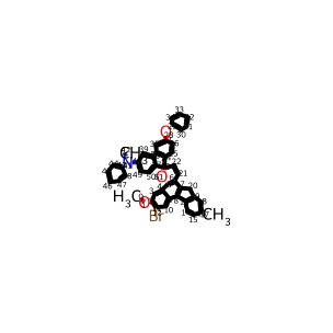 COc1cc2c3c(c4c(c2cc1Br)-c1ccc(C)cc1C4)C=CC(c1ccc(Oc2ccccc2)cc1)(c1ccc(N(C)c2ccccc2)cc1)O3